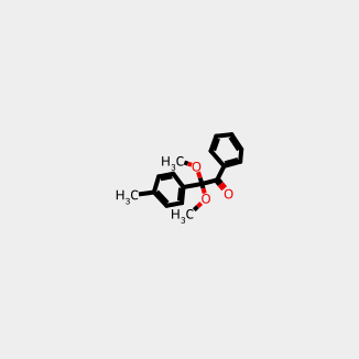 COC(OC)(C(=O)c1ccccc1)c1ccc(C)cc1